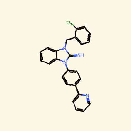 N=c1n(Cc2ccccc2Cl)c2ccccc2n1-c1ccc(-c2ccccn2)cc1